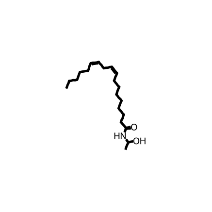 CCCCC/C=C\C/C=C\CCCCCCCC(=O)NC(C)O